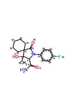 CC1(O)C(C(N)=O)N(c2ccc(F)cc2)C(=O)C12C[CH]CCC2